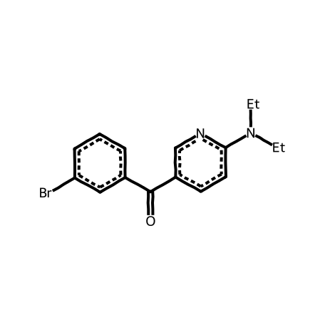 CCN(CC)c1ccc(C(=O)c2cccc(Br)c2)cn1